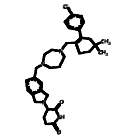 CC1(C)CCC(CN2CCCN(Cc3ccc4c(c3)CN(C3CCC(=O)NC3=O)C4)CC2)=C(c2ccc(Cl)cc2)C1